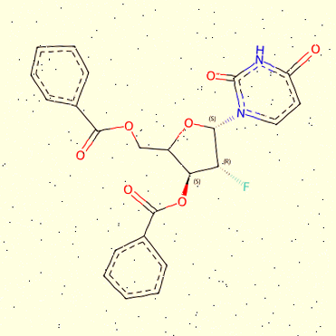 O=C(OCC1O[C@H](n2ccc(=O)[nH]c2=O)[C@H](F)[C@H]1OC(=O)c1ccccc1)c1ccccc1